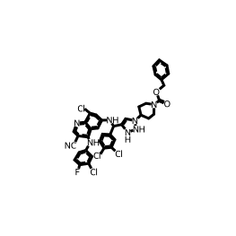 N#Cc1cnc2c(Cl)cc(NC(C3=CN(C4CCN(C(=O)OCc5ccccc5)CC4)NN3)c3ccc(Cl)c(Cl)c3)cc2c1Nc1ccc(F)c(Cl)c1